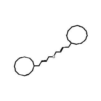 C(=CCC1CCCCCCCCCCC1)COCC=CCC1CCCCCCCCCCC1